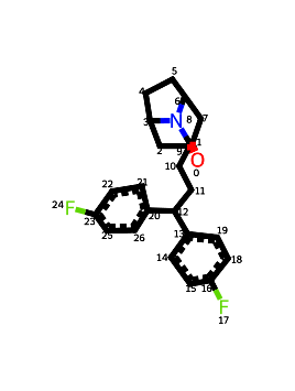 O=C1CC2CCC(C1)N2CCCC(c1ccc(F)cc1)c1ccc(F)cc1